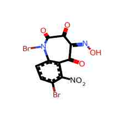 O=C1C(=O)N(Br)c2ccc(Br)c([N+](=O)[O-])c2C(=O)C1=NO